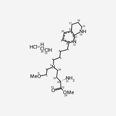 COCCN(CCCCc1ccc2c(n1)NCCC2)CC[C@H](N)C(=O)OC.Cl.Cl.Cl